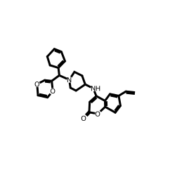 C=Cc1ccc2oc(=O)cc(NC3CCN(C(C4=CC=CCC4)C4=COC=CO4)CC3)c2c1